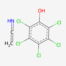 C=C=N.Oc1c(Cl)c(Cl)c(Cl)c(Cl)c1Cl